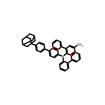 Cc1ccc(N(c2ccc(-c3ccc(C45CC6CC(CC(C6)C4)C5)cc3)cc2)c2ccccc2-c2ccccc2)c(-c2ccccc2)c1